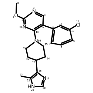 COc1ncc(-c2cccc(Cl)c2)c(N2CCC(c3nc[nH]c3C)CC2)n1